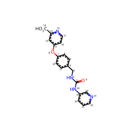 O=C(NCc1ccc(Oc2ccnc(C(=O)O)c2)cc1)Nc1cccnc1